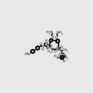 CCCCc1ccc(-c2ccc(C(=O)N[C@H]3CNN([C@@H]4C(=O)N[C@@H](C)C(=O)N[C@H](C(=O)N[C@@H](C)B5O[C@@H]6C[C@@H]7C[C@@H](C7(C)C)[C@]6(C)O5)Cc5ccc(OCCN)c(c5)-c5cc4ccc5OCCN)C3=O)cc2)cc1